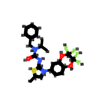 Cc1cn(-c2ccc3c(c2)OC(F)(F)C(F)(F)O3)c(=NC(=O)N(Cc2ccccc2)C(C)C)s1